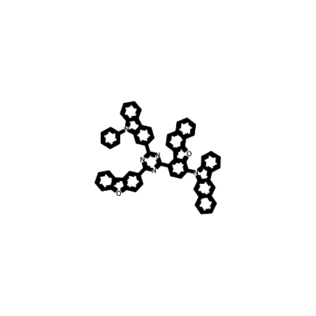 c1ccc(-n2c3ccccc3c3ccc(-c4nc(-c5ccc6oc7ccccc7c6c5)nc(-c5ccc(-n6c7ccccc7c7cc8ccccc8cc76)c6oc7c8ccccc8ccc7c56)n4)cc32)cc1